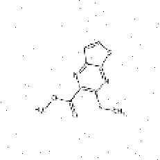 COC(=O)c1nc2ccsc2nc1SC